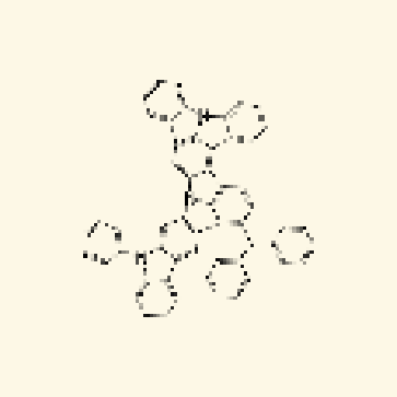 c1ccc(N(c2ccccc2)c2ccc3c4c5c6ccccc6n6c7ccccc7c(cc4n4c7cc8c(cc7c2c34)c2ccccc2n8-c2ccccc2)c56)cc1